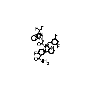 NC(=O)c1cc(-c2cccnc2[C@H](Cc2cc(F)cc(F)c2)NC(=O)Cn2nc(C(F)F)c3c2C2CCC3C2)ccc1F